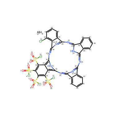 O=S(=O)(Cl)c1c(S(=O)(=O)Cl)c(S(=O)(=O)Cl)c2c3nc4nc(nc5[nH]c(nc6nc(nc([nH]3)c2c1S(=O)(=O)Cl)-c1ccccc1-6)c1ccccc51)-c1cccc(Cl)c1-4.[AlH3]